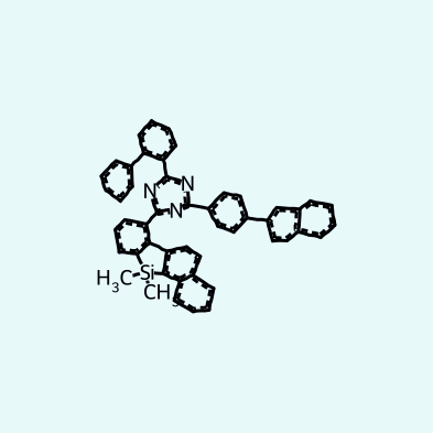 C[Si]1(C)c2cccc(-c3nc(-c4ccc(-c5ccc6ccccc6c5)cc4)nc(-c4ccccc4-c4ccccc4)n3)c2-c2ccc3ccccc3c21